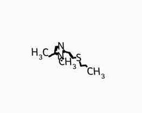 CCCSC=Cc1ncc(CC)n1C